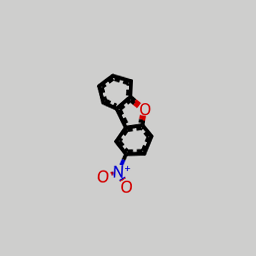 O=[N+]([O-])c1ccc2oc3ccccc3c2c1